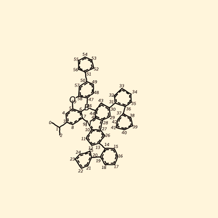 CC(C)c1cc2c3c(c1)-n1c4ccc(-c5ccccc5-c5ccccc5)cc4c4cc(-c5ccccc5-c5ccccc5)cc(c41)B3c1ccc(-c3ccccc3)cc1O2